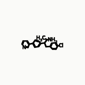 CC(N)C(Cc1ccc(Cl)cc1)c1ccc(-c2cccnc2)cc1